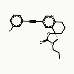 CCCN1C[C@]2(CCCc3ncc(C#Cc4cccc(F)c4)cc32)OC1=O